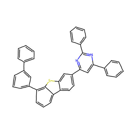 c1ccc(-c2cccc(-c3cccc4c3sc3cc(-c5cc(-c6ccccc6)nc(-c6ccccc6)n5)ccc34)c2)cc1